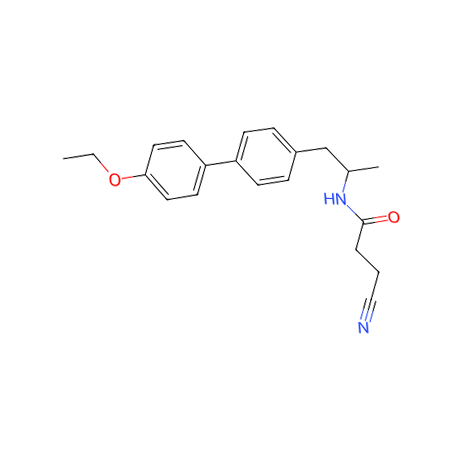 CCOc1ccc(-c2ccc(CC(C)NC(=O)CCC#N)cc2)cc1